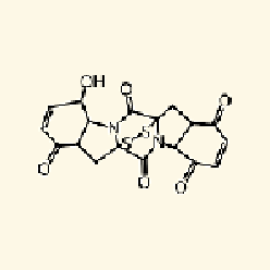 O=C1C=CC(=O)C2C1CC13SSC4(CC5C(=O)C=CC(O)C5N4C1=O)C(=O)N23